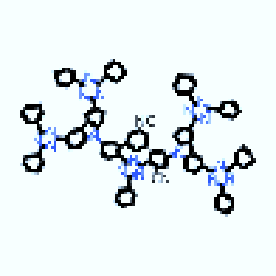 [C-]#[N+]c1cccc(-c2cc(-n3c4ccc(-c5nc(-c6ccccc6)nc(-c6ccccc6)n5)cc4c4cc(-c5nc(-c6ccccc6)nc(-c6ccccc6)n5)ccc43)ccc2-c2nc(-c3ccccc3)nc(-c3ccc(-n4c5ccc(-c6nc(-c7ccccc7)nc(-c7ccccc7)n6)cc5c5cc(-c6nc(-c7ccccc7)nc(-c7ccccc7)n6)ccc54)cc3C#N)n2)c1